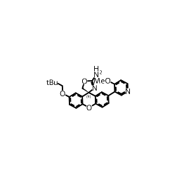 COc1ccncc1-c1ccc2c(c1)[C@]1(COC(N)=N1)c1cc(OCC(C)(C)C)ccc1O2